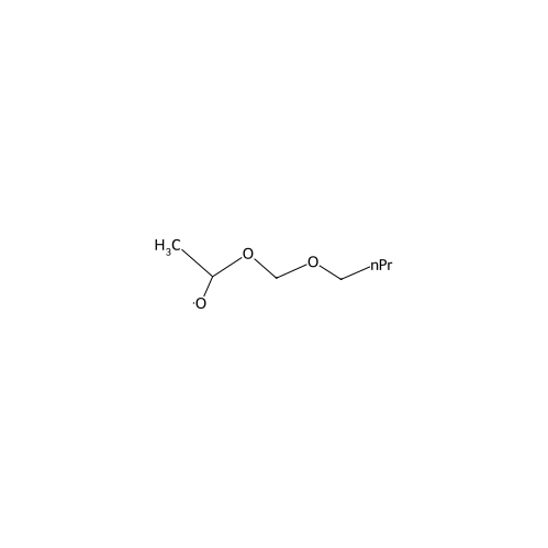 CCCCOCOC(C)[O]